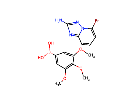 COc1cc(B(O)O)cc(OC)c1OC.Nc1nc2cccc(Br)n2n1